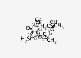 C[Si](C)(CCO[Si](C)(C)C)[CH2][Ti+2][C]1=C2[SiH2]C2=C2C(=O)C=CC=C12.[Cl-].[Cl-]